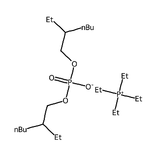 CCCCC(CC)COP(=O)([O-])OCC(CC)CCCC.CC[P+](CC)(CC)CC